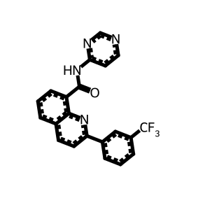 O=C(Nc1ccncn1)c1cccc2ccc(-c3cccc(C(F)(F)F)c3)nc12